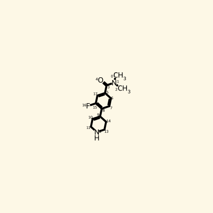 CN(C)C(=O)c1ccc(C2=CCNCC2)c(F)c1